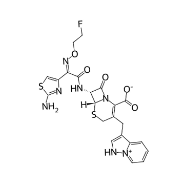 Nc1nc(/C(=N/OCCF)C(=O)N[C@@H]2C(=O)N3C(C(=O)[O-])=C(Cc4c[nH][n+]5ccccc45)CS[C@H]23)cs1